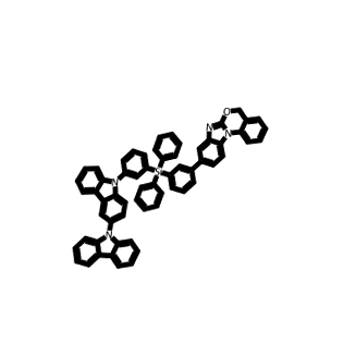 c1ccc([Si](c2ccccc2)(c2cccc(-c3ccc4c(c3)nc3n4-c4ccccc4CO3)c2)c2cccc(-n3c4ccccc4c4cc(-n5c6ccccc6c6ccccc65)ccc43)c2)cc1